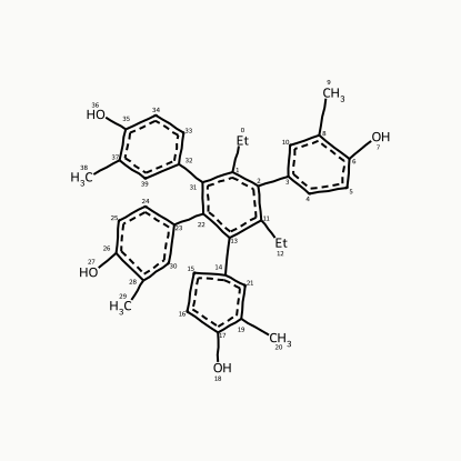 CCc1c(-c2ccc(O)c(C)c2)c(CC)c(-c2ccc(O)c(C)c2)c(-c2ccc(O)c(C)c2)c1-c1ccc(O)c(C)c1